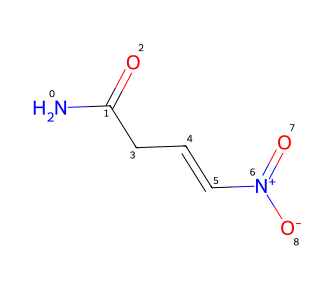 NC(=O)CC=C[N+](=O)[O-]